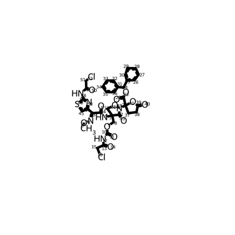 CON=C(C(=O)NC1(COC(=O)NC(=O)CCl)CON(C2(C(=O)OC(c3ccccc3)c3ccccc3)CCC(=O)O2)C1=O)c1csc(NC(=O)CCl)n1